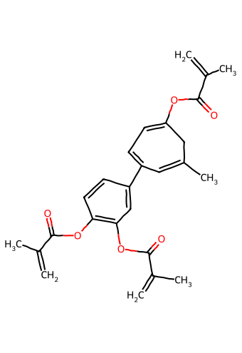 C=C(C)C(=O)OC1=CC=C(c2ccc(OC(=O)C(=C)C)c(OC(=O)C(=C)C)c2)C=C(C)C1